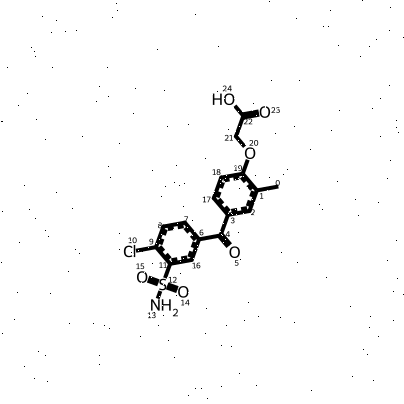 Cc1cc(C(=O)c2ccc(Cl)c(S(N)(=O)=O)c2)ccc1OCC(=O)O